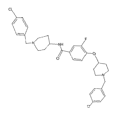 O=C(NC1CCN(Cc2ccc(Cl)cc2)CC1)c1ccc(OC2CCN(Cc3ccc(Cl)cc3)CC2)c(F)c1